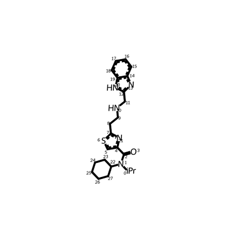 CC(C)N(C(=O)c1csc(CCNCc2nc3ccccc3[nH]2)n1)C1CCCCC1